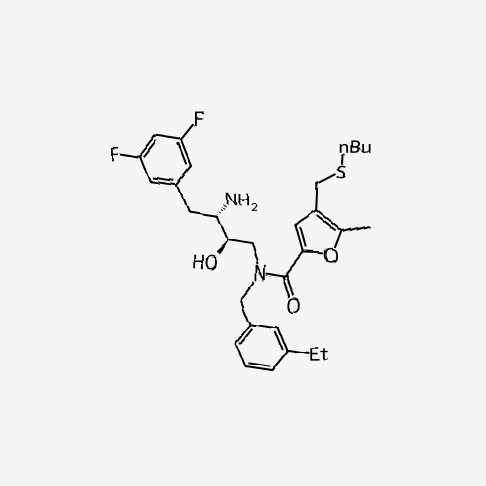 CCCCSCc1cc(C(=O)N(Cc2cccc(CC)c2)C[C@@H](O)[C@@H](N)Cc2cc(F)cc(F)c2)oc1C